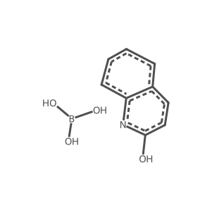 OB(O)O.Oc1ccc2ccccc2n1